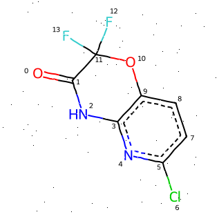 O=C1Nc2nc(Cl)ccc2OC1(F)F